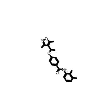 Cc1cccc(NC(=O)c2ccc(OC(C)c3c(C)noc3C)cc2)c1C